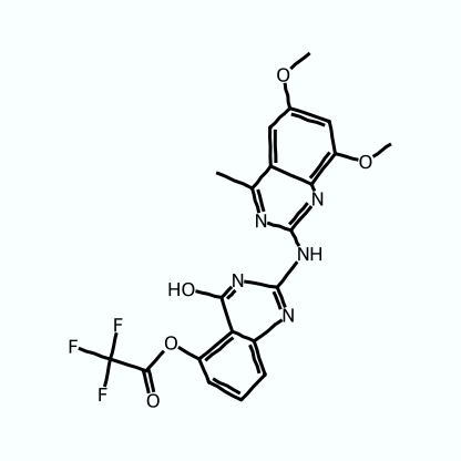 COc1cc(OC)c2nc(Nc3nc(O)c4c(OC(=O)C(F)(F)F)cccc4n3)nc(C)c2c1